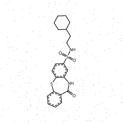 O=C1Nc2cc(S(=O)(=O)NCCC3CCCCC3)ccc2Sc2ccccc21